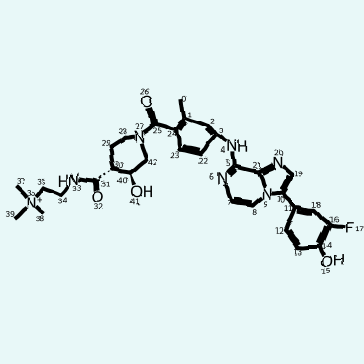 Cc1cc(Nc2nccn3c(-c4ccc(O)c(F)c4)cnc23)ccc1C(=O)N1CC[C@@H](C(=O)NCC[N+](C)(C)C)[C@H](O)C1